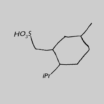 CC1CCC(C(C)C)C(CS(=O)(=O)O)C1